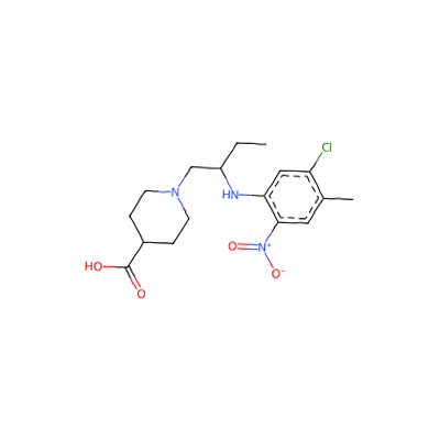 CCC(CN1CCC(C(=O)O)CC1)Nc1cc(Cl)c(C)cc1[N+](=O)[O-]